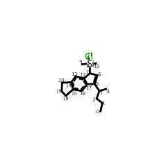 CCCC(C)C1=CC([Si](C)(C)Cl)c2cc3c(cc21)CCC3